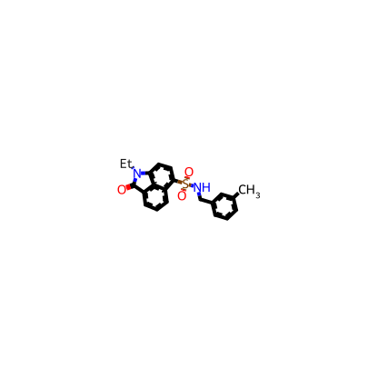 CCN1C(=O)c2cccc3c(S(=O)(=O)NCc4cccc(C)c4)ccc1c23